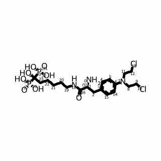 N[C@@H](Cc1ccc(N(CCCl)CCCl)cc1)C(=O)NCCCCCC(O)(P(=O)(O)O)P(=O)(O)O